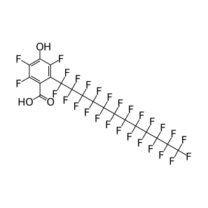 O=C(O)c1c(F)c(F)c(O)c(F)c1C(F)(F)C(F)(F)C(F)(F)C(F)(F)C(F)(F)C(F)(F)C(F)(F)C(F)(F)C(F)(F)C(F)(F)C(F)(F)C(F)(F)F